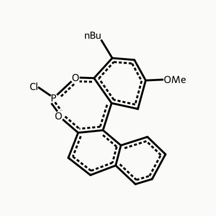 CCCCc1cc(OC)cc2c1op(Cl)oc1ccc3ccccc3c12